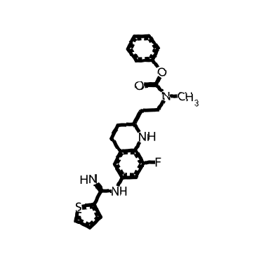 CN(CCC1CCc2cc(NC(=N)c3cccs3)cc(F)c2N1)C(=O)Oc1ccccc1